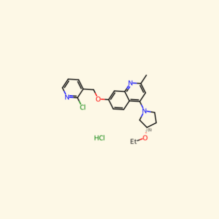 CCO[C@H]1CCN(c2cc(C)nc3cc(OCc4cccnc4Cl)ccc23)C1.Cl